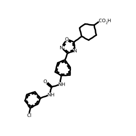 O=C(Nc1ccc(-c2noc(C3CCC(C(=O)O)CC3)n2)cc1)Nc1cccc(Cl)c1